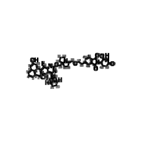 C#Cc1cccc2cc(O)cc(-c3ncc4c(N5C[C@H]6CC[C@@H](C5)N6)nc(OC[C@@]56CCCN5C(COCCc5ccc7c(c5)C(=O)N(C5CCC(=O)NC5=O)C7=O)CC6)nc4c3F)c12